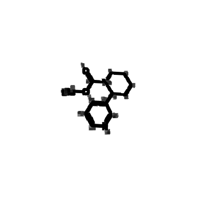 CC(C)(C)OC(=O)N1CCCCC1c1cccnc1